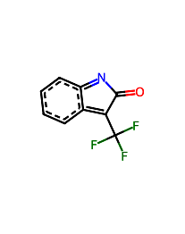 O=C1N=c2ccccc2=C1C(F)(F)F